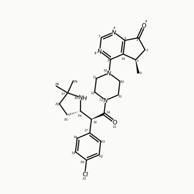 C[C@@H]1CC(=O)c2ncnc(N3CCN(C(=O)[C@@H](c4ccc(Cl)cc4)[C@@H]4CCC(C)(C)N4)CC3)c21